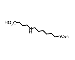 CCCCCCCCCCCCCCNCCCC(=O)O